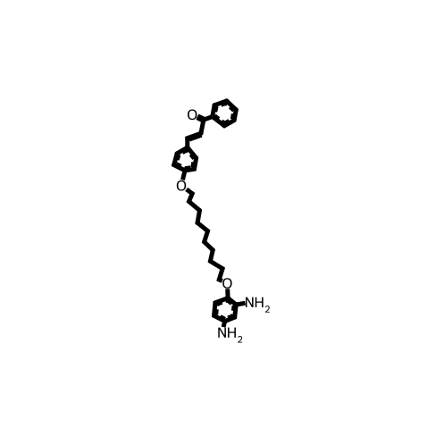 Nc1ccc(OCCCCCCCCCCOc2ccc(C=CC(=O)c3ccccc3)cc2)c(N)c1